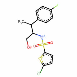 O=S(=O)(NC(CO)C(c1ccc(F)cc1)C(F)(F)F)c1ccc(Cl)s1